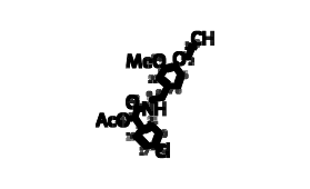 C#CCOc1ccc(CCNC(=O)C(OC(C)=O)c2ccc(Cl)cc2)cc1OC